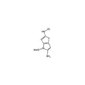 CCNc1cc2c(cc(N)n2OC)s1